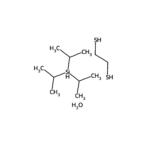 CC(C)[SiH](C(C)C)C(C)C.O.SCCS